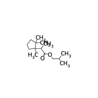 CC(C)COC(=O)C(C)C1(C)CCCC1(C)C